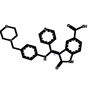 O=C1Nc2ccc(C(=O)O)cc2/C1=C(/Nc1ccc(CN2CCOCC2)cc1)c1ccncc1